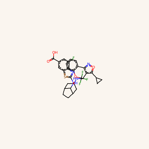 O=C(O)c1cc(F)c2nc(NC3C4CCC3CC(NCc3c(-c5ccccc5OC(F)(F)F)noc3C3CC3)C4)sc2c1